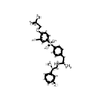 C[C@H](Cc1ccc(S(=O)(=O)c2ccc(OCC(=O)O)c(F)c2)cc1)NC[C@H](O)c1cccc(Cl)c1